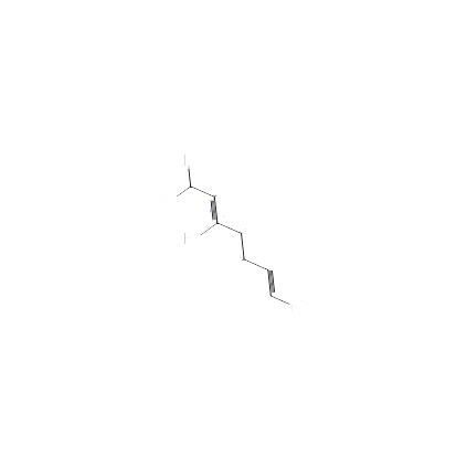 CCC/C=C/CC/C(=C/C(O)CC)CC